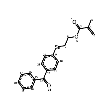 C=C(C)C(=O)OCCSc1ccc(C(=O)c2ccccc2)cc1